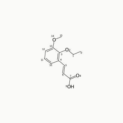 CCOc1c(/C=C/C(=O)O)cccc1OC